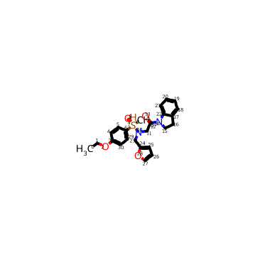 CCOc1ccc([SH](C)(=O)N(CC(=O)N2CCc3ccccc32)Cc2ccco2)cc1